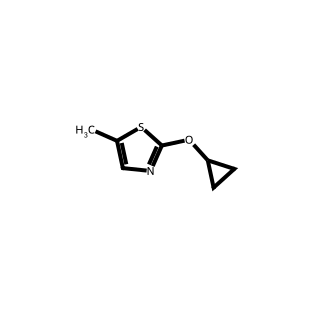 Cc1cnc(OC2CC2)s1